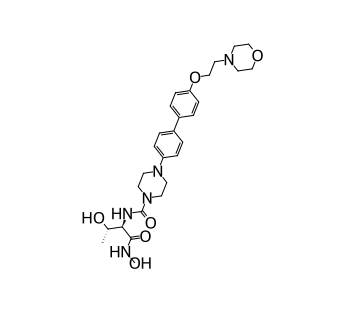 C[C@H](O)[C@@H](NC(=O)N1CCN(c2ccc(-c3ccc(OCCN4CCOCC4)cc3)cc2)CC1)C(=O)NO